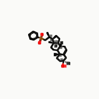 CC[C@]1(O)CC[C@H]2C(=CC[C@@H]3C2CC[C@]2(C)[C@@H]([C@H](C)CS(=O)(=O)c4ccccc4)CC[C@@H]32)C1